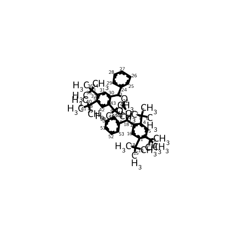 CC(C)(C)c1cc(C(C)(C)C)c(C(C)(C)C)cc1C(OC(=O)OC(c1ccccc1)c1cc(C(C)(C)C)c(C(C)(C)C)cc1C(C)(C)C)c1ccccc1